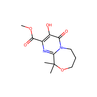 COC(=O)c1nc2n(c(=O)c1O)CCCOC2(C)C